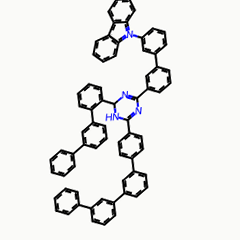 c1ccc(-c2cccc(-c3cccc(-c4ccc(C5=NC(c6cccc(-c7cccc(-n8c9ccccc9c9ccccc98)c7)c6)=NC(c6ccccc6-c6cccc(-c7ccccc7)c6)N5)cc4)c3)c2)cc1